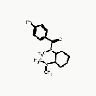 CN(C)C1CCCCC1N(C)C(=O)c1ccc(Br)cc1